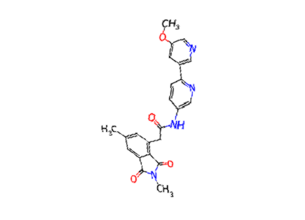 COc1cncc(-c2ccc(NC(=O)Cc3cc(C)cc4c3C(=O)N(C)C4=O)cn2)c1